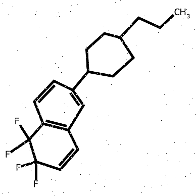 CCCC1CCC(c2ccc3c(c2)C=CC(F)(F)C3(F)F)CC1